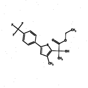 CCOC(=O)C(C)(O)c1sc(-c2ccc(C(F)(F)F)cc2)cc1C